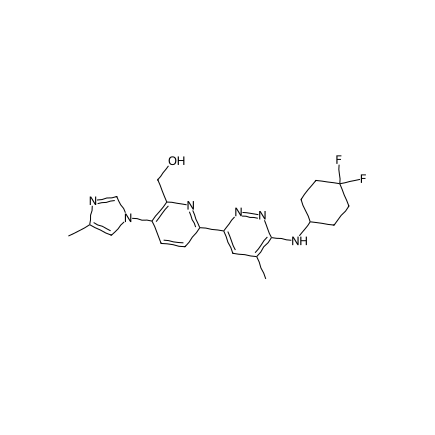 Cc1cn(-c2ccc(-c3cc(C)c(NC4CCC(F)(F)CC4)nn3)nc2CO)cn1